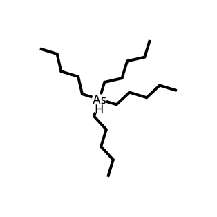 CCCCC[AsH](CCCCC)(CCCCC)CCCCC